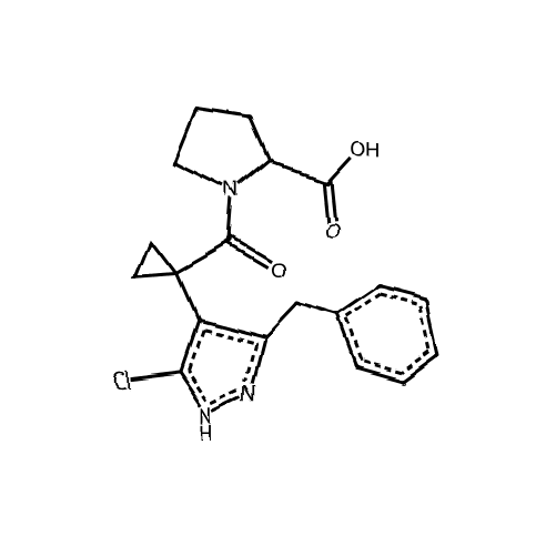 O=C(O)C1CCCN1C(=O)C1(c2c(Cc3ccccc3)n[nH]c2Cl)CC1